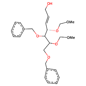 COCOC(COCc1ccccc1)C(OCc1ccccc1)[C@H](/C=C/CO)OCOC